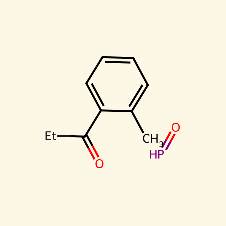 CCC(=O)c1ccccc1C.O=P